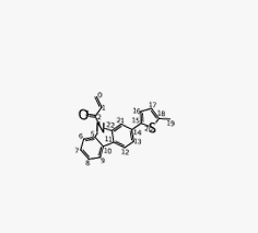 C=CC(=O)n1c2ccccc2c2ccc(-c3ccc(C)s3)cc21